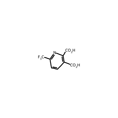 O=C(O)c1ccc(C(F)(F)F)nc1C(=O)O